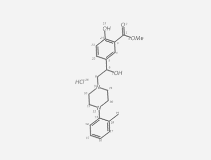 COC(=O)c1cc(C(O)CN2CCN(c3ccccc3C)CC2)ccc1O.Cl